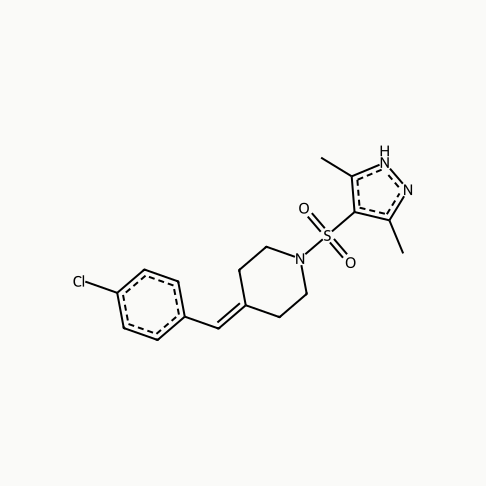 Cc1n[nH]c(C)c1S(=O)(=O)N1CCC(=Cc2ccc(Cl)cc2)CC1